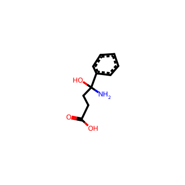 NC(O)(CCC(=O)O)c1ccccc1